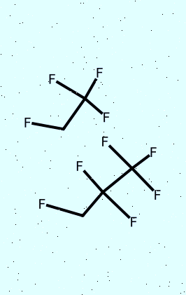 FCC(F)(F)C(F)(F)F.FCC(F)(F)F